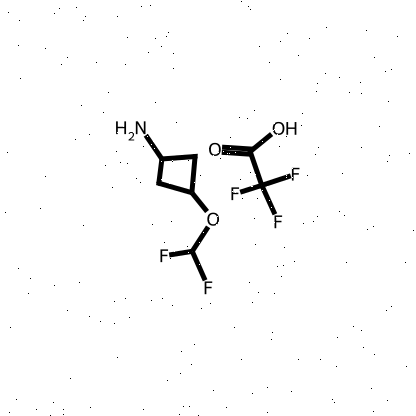 NC1CC(OC(F)F)C1.O=C(O)C(F)(F)F